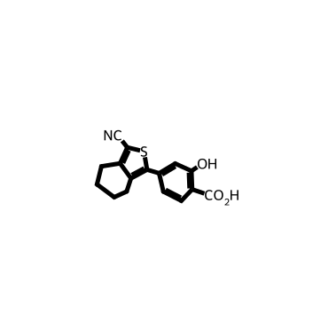 N#Cc1sc(-c2ccc(C(=O)O)c(O)c2)c2c1CCCC2